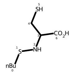 CCCCSNC(CS)C(=O)O